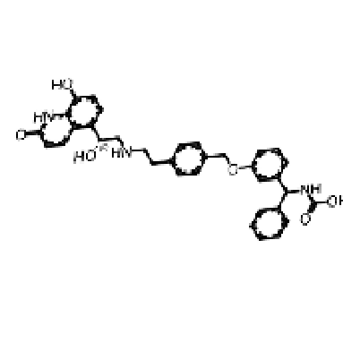 O=C(O)NC(c1ccccc1)c1cccc(OCc2ccc(CCNC[C@H](O)c3ccc(O)c4[nH]c(=O)ccc34)cc2)c1